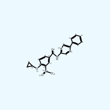 O=C(Nc1cnc(-c2ccccc2)cn1)c1ccc(OC2CC2)c([N+](=O)[O-])c1